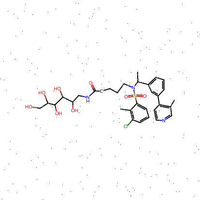 Cc1cnccc1-c1cccc(C(C)N(CCCCC(=O)NCC(O)C(O)C(O)C(O)CO)S(=O)(=O)c2cccc(Cl)c2C)c1